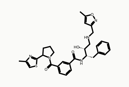 Cc1csc(C2CCCN2C(=O)c2cccc(C(=O)N[C@@H](Cc3ccccc3)[C@H](O)CNCc3cc(C)on3)c2)n1